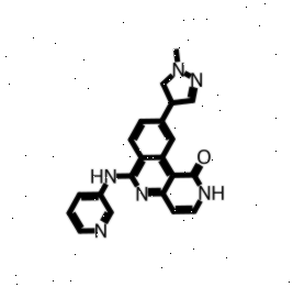 CN1CC(c2ccc3c(Nc4cccnc4)nc4cc[nH]c(=O)c4c3c2)C=N1